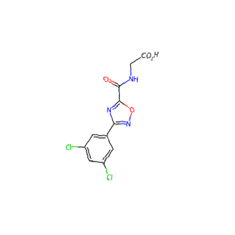 O=C(O)CNC(=O)c1nc(-c2cc(Cl)cc(Cl)c2)no1